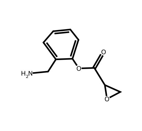 NCc1ccccc1OC(=O)C1CO1